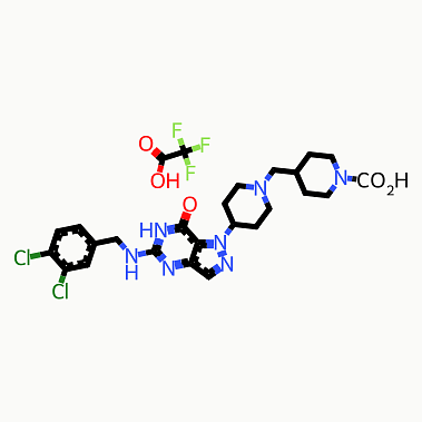 O=C(O)C(F)(F)F.O=C(O)N1CCC(CN2CCC(n3ncc4nc(NCc5ccc(Cl)c(Cl)c5)[nH]c(=O)c43)CC2)CC1